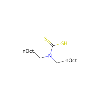 CCCCCCCCCN(CCCCCCCCC)C(=S)S